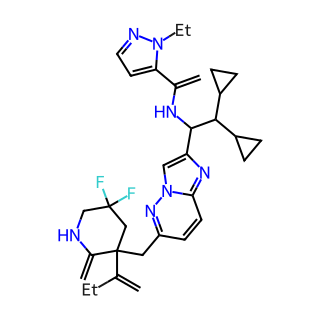 C=C(NC(c1cn2nc(CC3(C(=C)CC)CC(F)(F)CNC3=C)ccc2n1)C(C1CC1)C1CC1)c1ccnn1CC